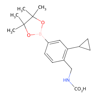 CC1(C)OB(c2ccc(CNC(=O)O)c(C3CC3)c2)OC1(C)C